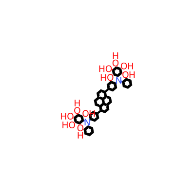 Oc1c(O)c(O)c(N(c2ccccc2)c2ccc(-c3ccc4ccc5c(-c6ccc(N(c7ccccc7)c7c(O)c(O)c(O)c(O)c7O)cc6)ccc6ccc3c4c65)cc2)c(O)c1O